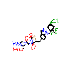 O=C(CN1C(=O)SC(=Cc2ccc3c(cnn3Cc3ccc(Cl)cc3C(F)(F)F)c2)C1=O)N1CCN[C@@H](CO)C1